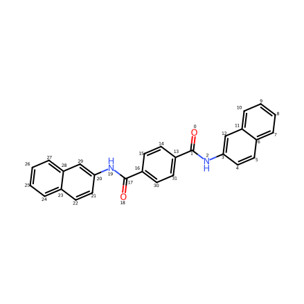 O=C(Nc1ccc2ccccc2c1)c1ccc(C(=O)Nc2ccc3ccccc3c2)cc1